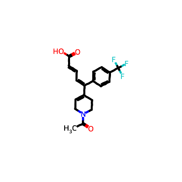 CC(=O)N1CC=C(/C(=C/C=C/C(=O)O)c2ccc(C(F)(F)F)cc2)CC1